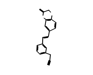 N#CCc1cccc(C=Cc2ccc3c(c2)NC(=O)CO3)c1